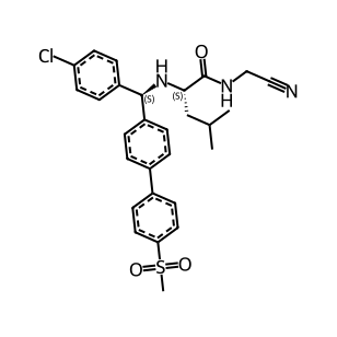 CC(C)C[C@H](N[C@H](c1ccc(Cl)cc1)c1ccc(-c2ccc(S(C)(=O)=O)cc2)cc1)C(=O)NCC#N